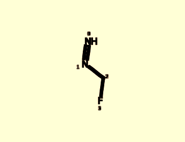 N=NCF